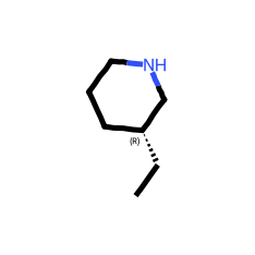 CC[C@@H]1CCCNC1